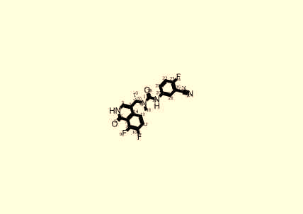 C[C@@H](c1c[nH]c(=O)c2c(F)c(F)ccc12)N(C)C(=O)Nc1ccc(F)c(C#N)c1